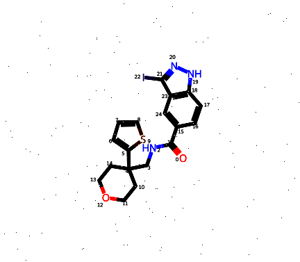 O=C(NCC1(c2cccs2)CCOCC1)c1ccc2[nH]nc(I)c2c1